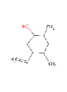 C=CC1CC(O)C(C)CC1C